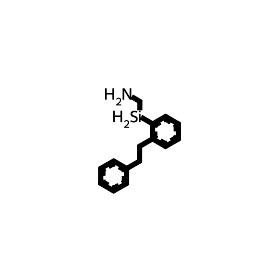 NC[SiH2]c1ccccc1CCc1ccccc1